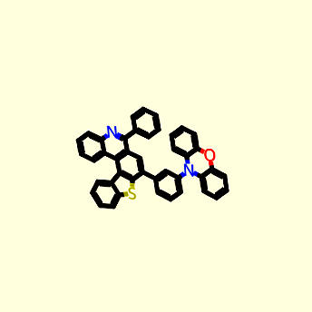 c1ccc(-c2nc3ccccc3c3c2cc(-c2cccc(N4c5ccccc5Oc5ccccc54)c2)c2sc4ccccc4c23)cc1